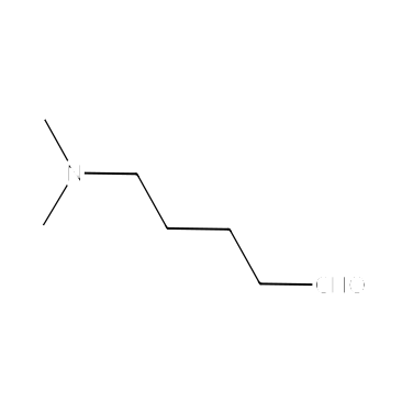 CN(C)CCCC[C]=O